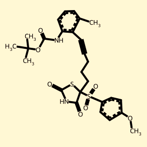 COc1ccc(S(=O)(=O)C2(CCCC#Cc3c(C)cccc3NC(=O)OC(C)(C)C)SC(=O)NC2=O)cc1